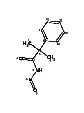 CC(C)(C(=O)NN=O)c1ccccc1